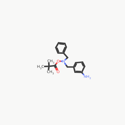 CC(C)(C)C(=O)ON(Cc1ccccc1)Cc1cccc(N)c1